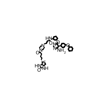 Nc1ncnc(Oc2cccc(NC(=O)C=CCN3CCN(C(=O)CCCC[C@@H]4SCC5NC(=O)NC54)CC3)c2)c1-c1ccc(Oc2ccccc2)cc1